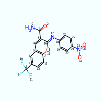 NC(=O)c1cc2cc(C(F)(F)F)ccc2o/c1=N\c1ccc([N+](=O)[O-])cc1